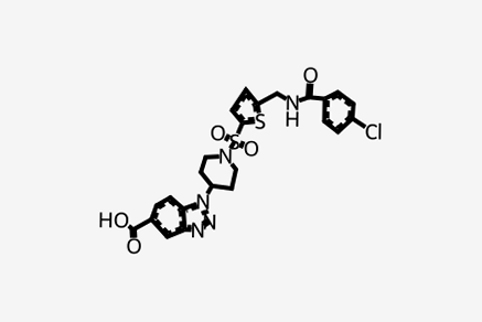 O=C(O)c1ccc2c(c1)nnn2C1CCN(S(=O)(=O)c2ccc(CNC(=O)c3ccc(Cl)cc3)s2)CC1